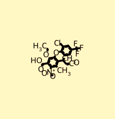 CCOc1c(Oc2ccc(C(F)(F)F)cc2Cl)c(C(C)C=C=O)c(C)c([N+](=O)[O-])c1C(=O)O